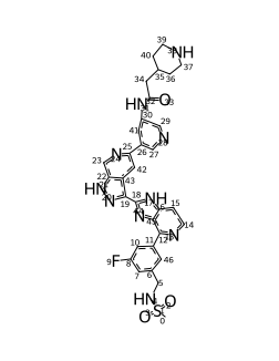 CS(=O)(=O)NCc1cc(F)cc(-c2nccc3[nH]c(-c4n[nH]c5cnc(-c6cncc(NC(=O)CC7CCNCC7)c6)cc45)nc23)c1